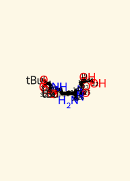 CC(C)(C)OC(=O)CC(NC(=O)CCC#Cc1cn([C@H]2CC(O)[C@@H](CO)O2)c(=O)nc1N)C(=O)OC(C)(C)C